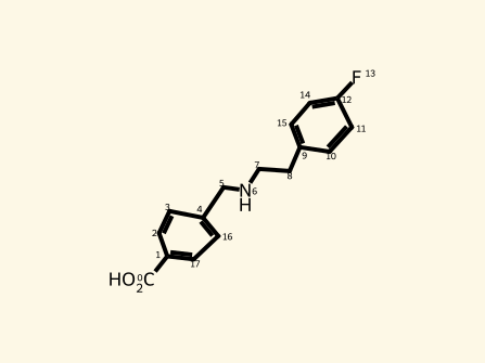 O=C(O)c1ccc(CNCCc2ccc(F)cc2)cc1